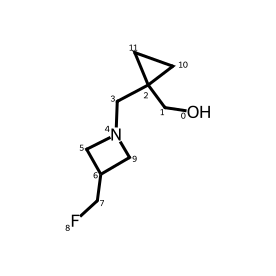 OCC1(CN2CC(CF)C2)CC1